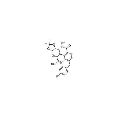 CC(C)OC(=O)c1ncc(Cc2ccc(F)cc2)c(Br)c1N(CC1COC(C)(C)O1)C(=O)OC(C)(C)C